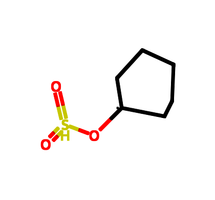 O=[SH](=O)O[C]1CCCCC1